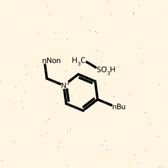 CCCCCCCCCC[n+]1ccc(CCCC)cc1.CS(=O)(=O)O